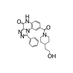 O=C(c1ccc2[nH]c(=O)c3nnc(-c4ccccc4)n3c2c1)N1CCC(CCO)CC1